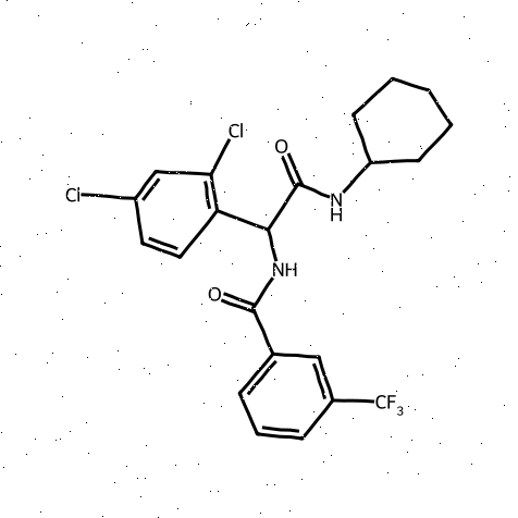 O=C(NC(C(=O)NC1CCCCC1)c1ccc(Cl)cc1Cl)c1cccc(C(F)(F)F)c1